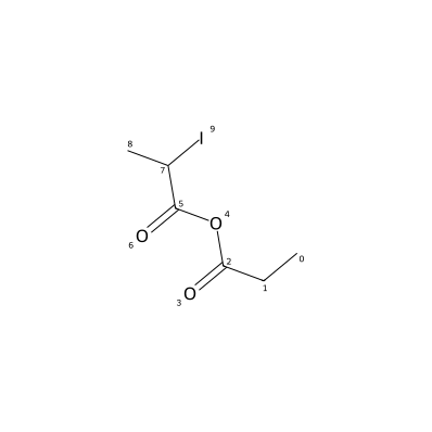 CCC(=O)OC(=O)C(C)I